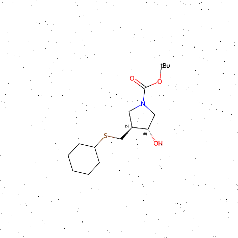 CC(C)(C)OC(=O)N1C[C@H](CSC2CCCCC2)[C@@H](O)C1